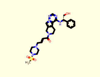 CS(=O)(=O)N1CCN(C/C=C/C(=O)N2CCc3c(cn4ncnc(N[C@H](CO)c5ccccc5)c34)C2)CC1